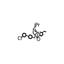 C=Cc1ccc(C(=O)N(Cc2ccc(-c3cccc(Cl)c3)cc2)C2CCN(CCC(C)C)CC2)nc1